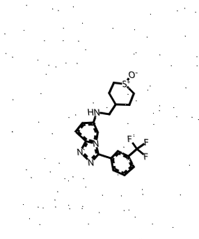 [O-][S+]1CCC(CNc2ccc3nnc(-c4cccc(C(F)(F)F)c4)n3c2)CC1